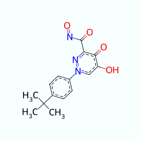 CC(C)(C)c1ccc(-n2cc(O)c(=O)c(C(=O)N=O)n2)cc1